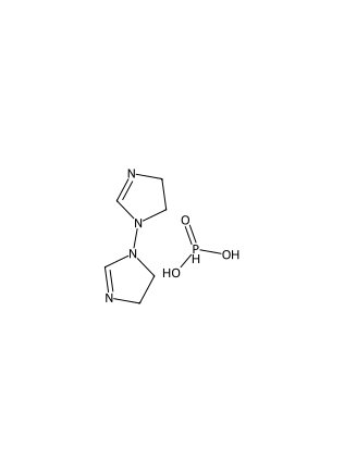 C1=NCCN1N1C=NCC1.O=[PH](O)O